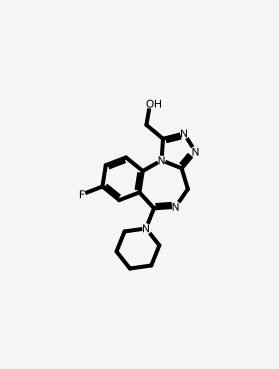 OCc1nnc2n1-c1ccc(F)cc1C(N1CCCCC1)=NC2